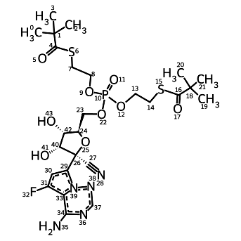 CC(C)(C)C(=O)SCCOP(=O)(OCCSC(=O)C(C)(C)C)OC[C@H]1O[C@@](C#N)(c2cc(F)c3c(N)ncnn23)[C@H](O)[C@@H]1O